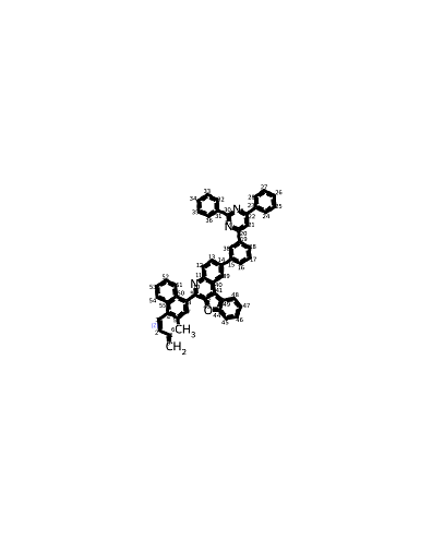 C=C/C=C\c1c(C)cc(-c2nc3ccc(-c4cccc(-c5cc(-c6ccccc6)nc(-c6ccccc6)n5)c4)cc3c3c2oc2ccccc23)c2ccccc12